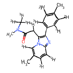 [2H]c1c([2H])c(-c2nc3c([2H])c([2H])c(C)c([2H])n3c2C([2H])C(=O)N(C)C([2H])([2H])[2H])c([2H])c([2H])c1C